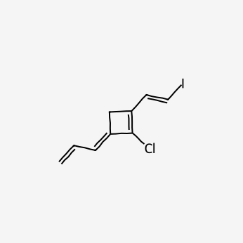 C=C/C=C1\CC(/C=C/I)=C1Cl